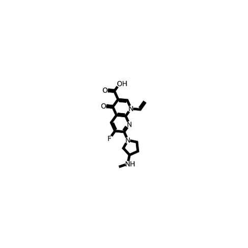 C=Cn1cc(C(=O)O)c(=O)c2cc(F)c(N3CCC(NC)C3)nc21